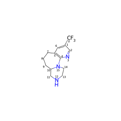 FC(F)(F)c1cnc2c(c1)CCCC1CNCCN21